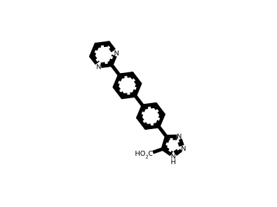 O=C(O)c1[nH]nnc1-c1ccc(-c2ccc(-c3ncccn3)cc2)cc1